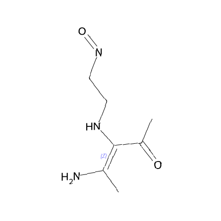 CC(=O)/C(NCCN=O)=C(\C)N